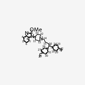 COc1nc2ccccc2n1C1CCN(CCCC(c2ccc(F)cc2)c2ccc(F)cc2)CC1